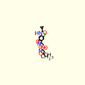 CC1(C)CC(S(=O)(=O)Cc2noc3cc(NC(=O)C4CC4)c(F)cc23)=NO1